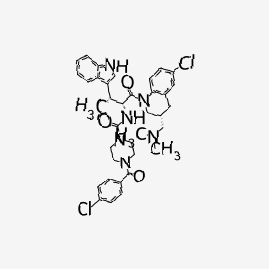 C[C@H](c1c[nH]c2ccccc12)[C@@H](NC(=O)N1CCN(C(=O)c2ccc(Cl)cc2)CC1)C(=O)N1C[C@@H](CN(C)C)Cc2cc(Cl)ccc21